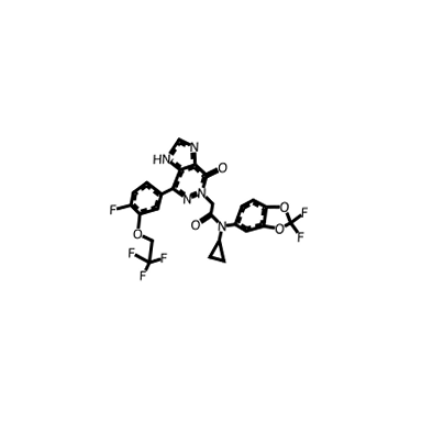 O=C(Cn1nc(-c2ccc(F)c(OCC(F)(F)F)c2)c2[nH]cnc2c1=O)N(c1ccc2c(c1)OC(F)(F)O2)C1CC1